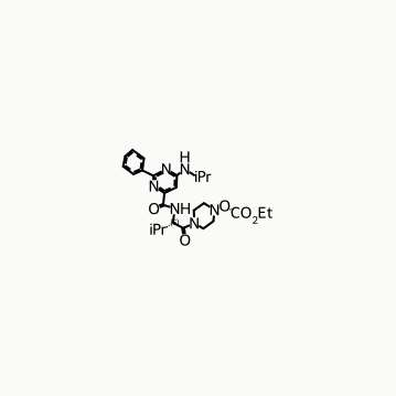 CCOC(=O)ON1CCN(C(=O)[C@@H](NC(=O)c2cc(NC(C)C)nc(-c3ccccc3)n2)C(C)C)CC1